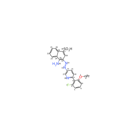 CCCOc1cccc(F)c1-c1ccc(N=Nc2cc(S(=O)(=O)O)c3ccccc3c2N)cn1